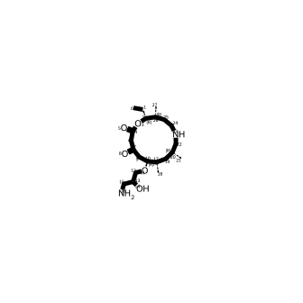 CC[C@H]1OC(=O)CC(=O)C[C@@H](OCC(O)CN)[C@@H](C)C[C@@H](C)CNCC[C@H]1C